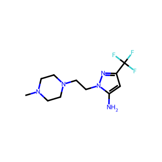 CN1CCN(CCn2nc(C(F)(F)F)cc2N)CC1